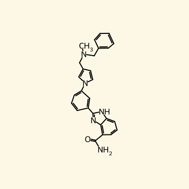 CN(Cc1ccccc1)Cc1ccn(-c2cccc(-c3nc4c(C(N)=O)cccc4[nH]3)c2)c1